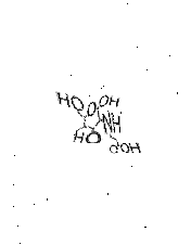 CC1C(CO)OC(O)C(NCCC(=O)O)C1O